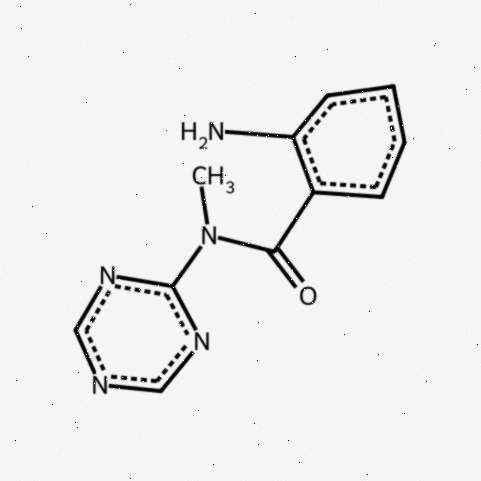 CN(C(=O)c1ccccc1N)c1ncncn1